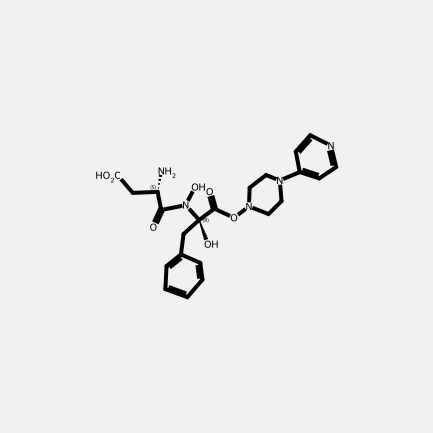 N[C@@H](CC(=O)O)C(=O)N(O)[C@@](O)(Cc1ccccc1)C(=O)ON1CCN(c2ccncc2)CC1